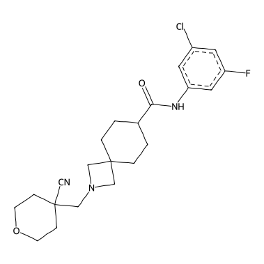 N#CC1(CN2CC3(CCC(C(=O)Nc4cc(F)cc(Cl)c4)CC3)C2)CCOCC1